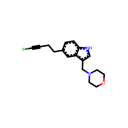 FC#CCCc1ccc2[nH]cc(CN3CCOCC3)c2c1